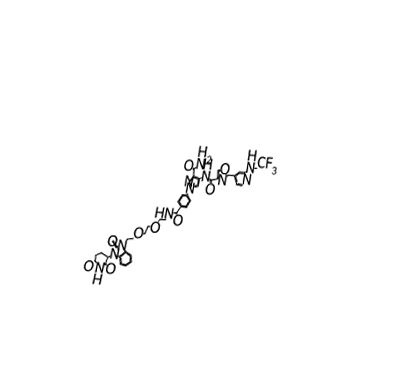 NC(=O)c1nn(-c2ccc(C(=O)NCCOCCOCCn3c(=O)n(C4CCC(=O)NC4=O)c4ccccc43)cc2)cc1NC(=O)c1coc(-c2ccnc(NCC(F)(F)F)c2)n1